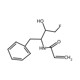 C=CC(=O)NC(Cc1ccccc1)C(O)CF